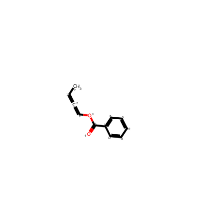 CC=C=COC(=O)c1ccccc1